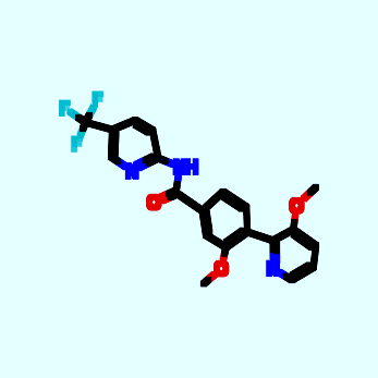 COc1cc(C(=O)Nc2ccc(C(F)(F)F)cn2)ccc1-c1ncccc1OC